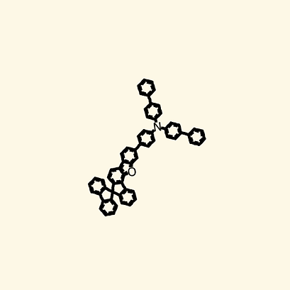 c1ccc(-c2ccc(N(c3ccc(-c4ccccc4)cc3)c3ccc(-c4ccc5c(c4)oc4c6c(ccc45)C4(c5ccccc5-c5ccccc54)c4ccccc4-6)cc3)cc2)cc1